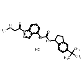 CNCC(=O)n1ncc2c(NC(=O)NC3CCc4cc(C(C)(C)C)ccc43)cccc21.Cl